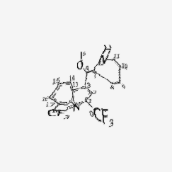 FC(F)(F)c1cc(C(OI)C2CCCCN2)c2cccc(C(F)(F)F)c2n1